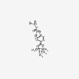 CC1(C)OB(c2ccc3nc(NCC(F)F)oc3c2)OC1(C)C